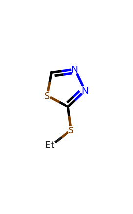 [CH2]CSc1nncs1